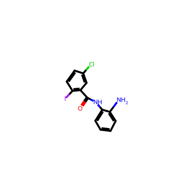 Nc1ccccc1NC(=O)c1cc(Cl)ccc1I